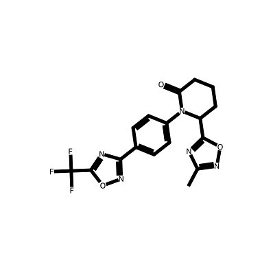 Cc1noc(C2CCCC(=O)N2c2ccc(-c3noc(C(F)(F)F)n3)cc2)n1